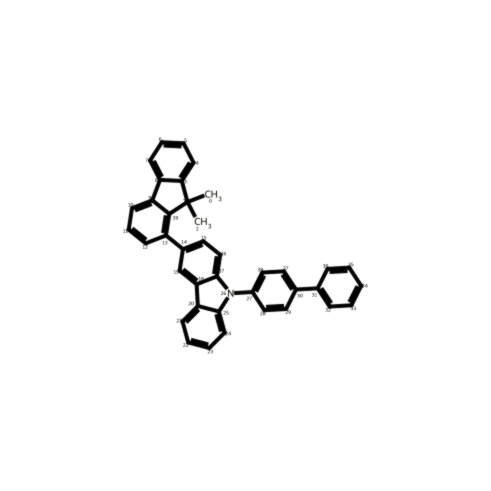 CC1(C)c2ccccc2-c2cccc(-c3ccc4c(c3)c3ccccc3n4-c3ccc(-c4ccccc4)cc3)c21